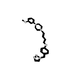 COc1cccc(N2CCN(CCCCOc3ccc(Cn4ccnn4)cc3)CC2)c1